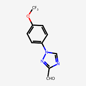 O=Cc1ncn(-c2ccc(OC(F)(F)F)cc2)n1